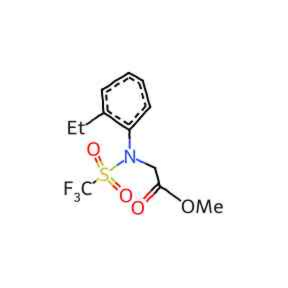 CCc1ccccc1N(CC(=O)OC)S(=O)(=O)C(F)(F)F